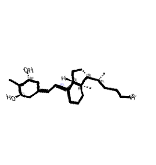 CC(C)CCC[C@@H](C)[C@H]1CC[C@H]2/C(=C/C=C3C[C@@H](O)C(C)[C@H](O)C3)CCC[C@]12C